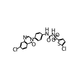 O=C(Nc1ccc(-n2cnc3cc(Cl)ccc3c2=O)cc1)NS(=O)(=O)c1ccc(Cl)s1